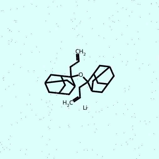 C=CCC1(OC2(CC=C)C3CC4CC(C3)CC2C4)C2CC3CC(C2)CC1C3.[Li]